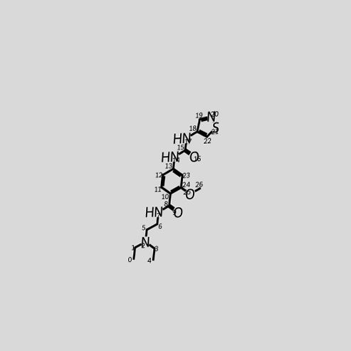 CCN(CC)CCNC(=O)c1ccc(NC(=O)Nc2cnsc2)cc1OC